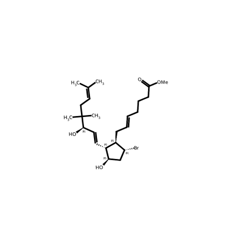 COC(=O)CCCC=CC[C@@H]1[C@@H](C=C[C@@H](O)C(C)(C)CC=C(C)C)[C@H](O)C[C@H]1Br